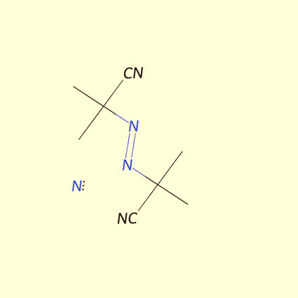 CC(C)(C#N)N=NC(C)(C)C#N.[N]